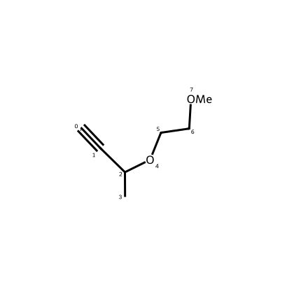 [C]#CC(C)OCCOC